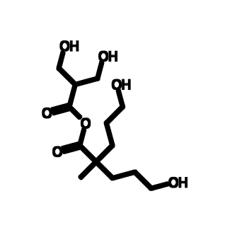 CC(CCCO)(CCCO)C(=O)OC(=O)C(CO)CO